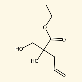 C=CCC(O)(CO)C(=O)OCC